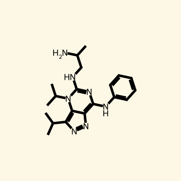 CC(N)CNc1nc(Nc2ccccc2)c2nnc(C(C)C)c-2n1C(C)C